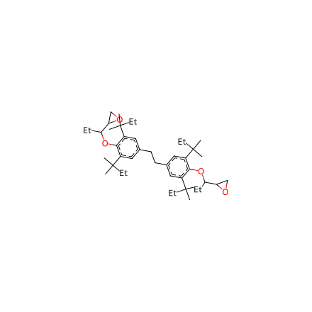 CCC(Oc1c(C(C)(C)CC)cc(CCc2cc(C(C)(C)CC)c(OC(CC)C3CO3)c(C(C)(C)CC)c2)cc1C(C)(C)CC)C1CO1